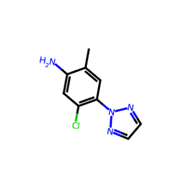 Cc1cc(-n2nccn2)c(Cl)cc1N